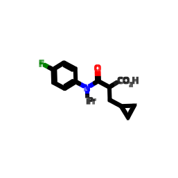 CC(C)N(C(=O)C(CC1CC1)C(=O)O)c1ccc(F)cc1